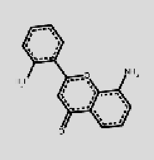 Cc1ccccc1-c1cc(=O)c2cccc(N)c2o1